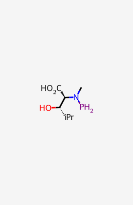 CC(C)[C@H](O)[C@@H](C(=O)O)N(C)P